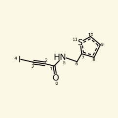 O=C(C#CI)NCc1cccs1